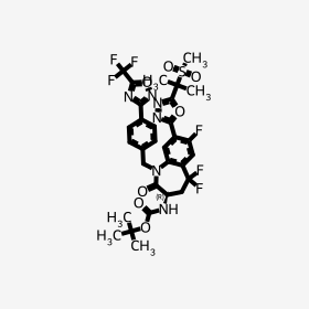 CC(C)(C)OC(=O)N[C@@H]1CC(F)(F)c2cc(F)c(-c3nnc(C(C)(C)S(C)(=O)=O)o3)cc2N(Cc2ccc(-c3noc(C(F)(F)F)n3)cc2)C1=O